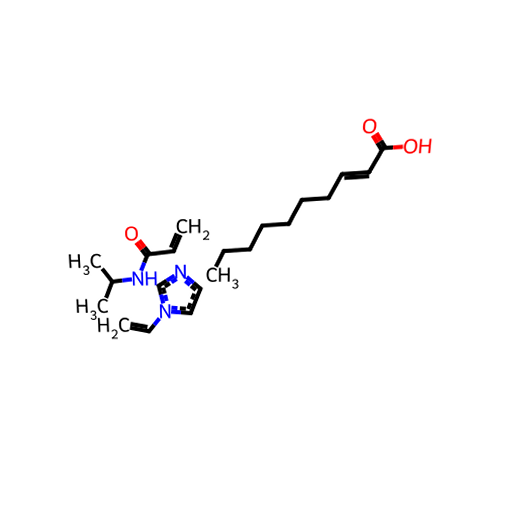 C=CC(=O)NC(C)C.C=Cn1ccnc1.CCCCCCCC=CC(=O)O